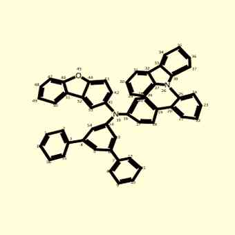 c1ccc(-c2cc(-c3ccccc3)cc(N(c3ccc(-c4ccccc4-n4c5ccccc5c5ccccc54)cc3)c3ccc4oc5ccccc5c4c3)c2)cc1